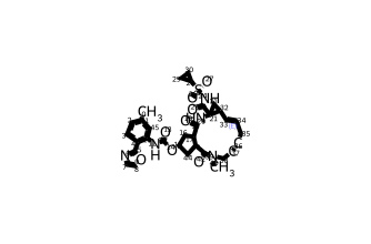 Cc1ccc(-c2ncco2)c(NC(=O)OC2CC3C(=O)NC4(C(=O)NS(=O)(=O)C5CC5)CC4/C=C/CCCCN(C)C(=O)C3C2)c1